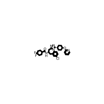 O=C(N[C@H]1Cc2cc(Cl)ccc2-n2c(nnc2[C@H]2CC[C@H](Oc3ccccn3)CC2)C1)C1CCC(F)(F)CC1